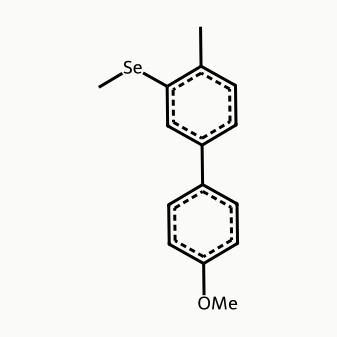 COc1ccc(-c2ccc(C)c([Se]C)c2)cc1